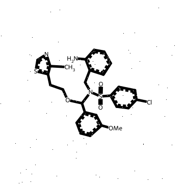 COc1cccc(C(OCCc2scnc2C)N(Cc2ccccc2N)S(=O)(=O)c2ccc(Cl)cc2)c1